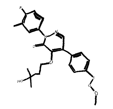 COOSc1ccc(-c2cnn(-c3ccc(F)c(C)c3)c(=O)c2OCCC(C)(C)O)cc1